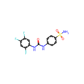 NS(=O)(=O)c1ccc(NC(=O)Nc2cc(F)c(F)cc2F)cc1